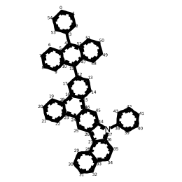 c1ccc(-c2c3ccccc3c(-c3ccc4c(c3)c3ccccc3c3cc5c6c7ccccc7ccc6n(-c6ccccc6)c5cc43)c3ccccc23)cc1